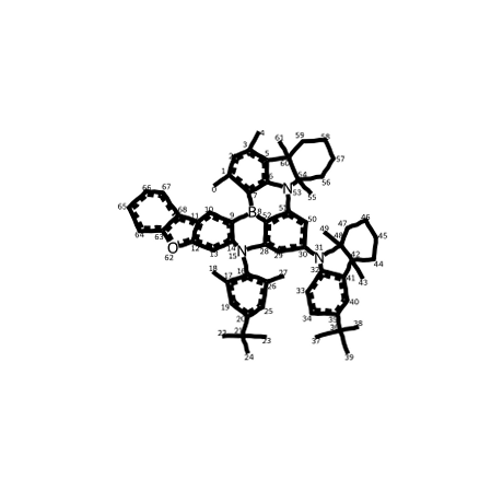 Cc1cc(C)c2c3c1B1c4cc5c(cc4N(c4c(C)cc(C(C)(C)C)cc4C)c4cc(N6c7ccc(C(C)(C)C)cc7C7(C)CCCCC67C)cc(c41)N3C1(C)CCCCC21C)oc1ccccc15